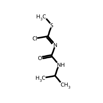 CS/C(Cl)=N/C(=O)NC(C)C